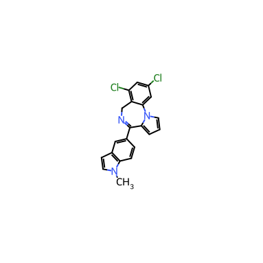 Cn1ccc2cc(C3=NCc4c(Cl)cc(Cl)cc4-n4cccc43)ccc21